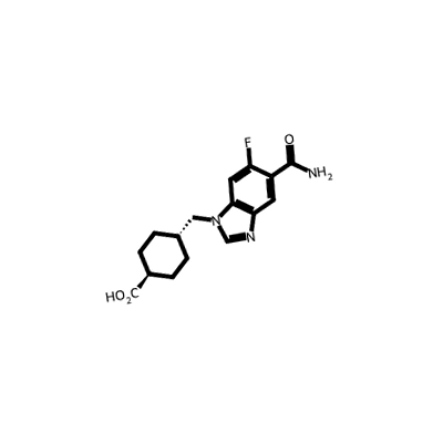 NC(=O)c1cc2ncn(C[C@H]3CC[C@H](C(=O)O)CC3)c2cc1F